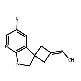 N#CC=C1CC2(CNc3ncc(Cl)cc32)C1